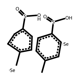 Cc1ccc(S(=O)O)cc1.Cc1ccc(S(=O)O)cc1.[Se].[Se]